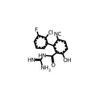 N#Cc1ccc(O)c(C(=O)NC(=N)N)c1-c1cccc(F)c1Cl